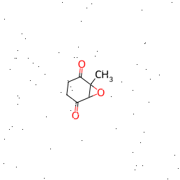 CC12OC1C(=O)CCC2=O